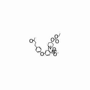 CCOC(=O)OC1CCN(c2cc(Oc3ccc(CCC(C)=O)cc3)ccc2[N+](=O)[O-])CC1